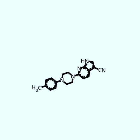 Cc1ccc(N2CCN(c3ccc4c(C#N)c[nH]c4n3)CC2)cc1